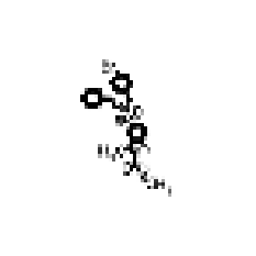 CCOC(=O)c1oc2ccc(S(=O)(=O)N(CCc3ccccc3)Cc3ccc(Br)cc3)cc2c1C